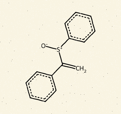 C=C(c1ccccc1)[S+]([O-])c1ccccc1